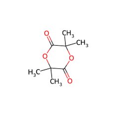 CC1(C)OC(=O)C(C)(C)OC1=O